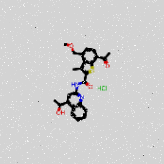 COCc1ccc(C(C)=O)c2sc(C(=O)Nc3cc(C(C)O)c4ccccc4n3)c(C)c12.Cl